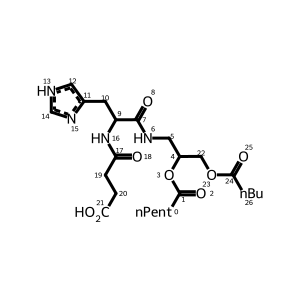 CCCCCC(=O)OC(CNC(=O)C(Cc1c[nH]cn1)NC(=O)CCC(=O)O)COC(=O)CCCC